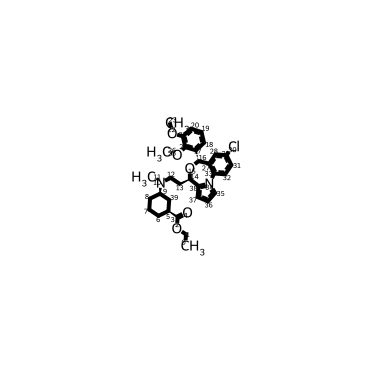 CCOC(=O)[C@H]1CCC[C@@H](N(C)CC[C@H]2O[C@H](c3cccc(OC)c3OC)c3cc(Cl)ccc3-n3cccc32)C1